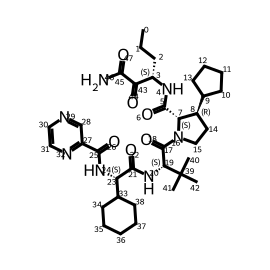 CCC[C@H](NC(=O)[C@@H]1[C@@H](C2CCCC2)CCN1C(=O)[C@@H](NC(=O)[C@@H](NC(=O)c1cnccn1)C1CCCCC1)C(C)(C)C)C(=O)C(N)=O